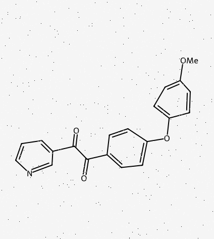 COc1ccc(Oc2ccc(C(=O)C(=O)c3cccnc3)cc2)cc1